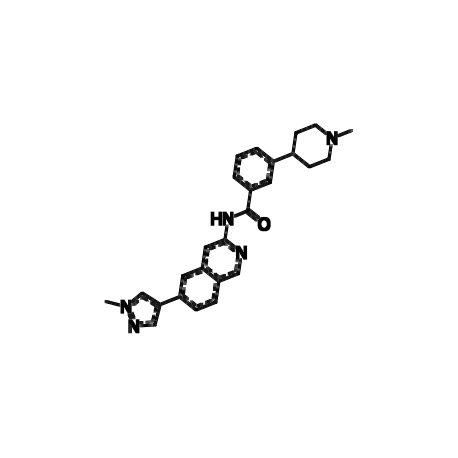 CN1CCC(c2cccc(C(=O)Nc3cc4cc(-c5cnn(C)c5)ccc4cn3)c2)CC1